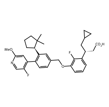 COc1cc(-c2ccc(COc3cccc([C@@H](CC(=O)O)CC4CC4)c3F)cc2[C@H]2CCCC2(C)C)c(F)cn1